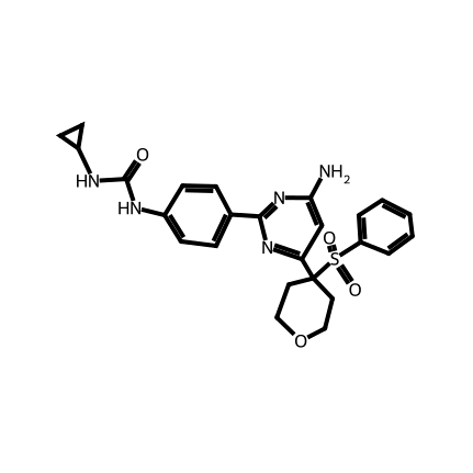 Nc1cc(C2(S(=O)(=O)c3ccccc3)CCOCC2)nc(-c2ccc(NC(=O)NC3CC3)cc2)n1